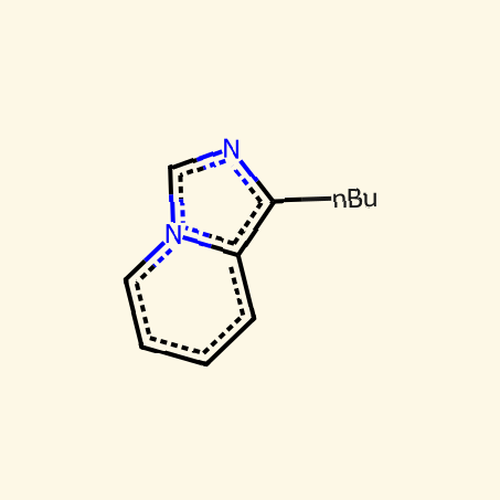 CCCCc1ncn2ccccc12